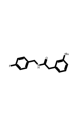 CC(C)(C)c1cccc(CC(=O)NCc2ccc(F)cc2)c1